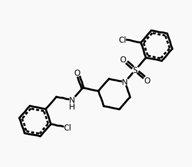 O=C(NCc1ccccc1Cl)C1CCCN(S(=O)(=O)c2ccccc2Cl)C1